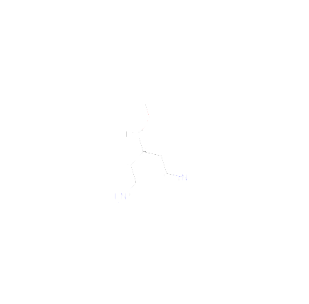 CO[SiH2]C(CCN)CCN